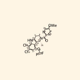 COc1cnc(C(=O)N2CCc3[nH]c4c(Cl)c(Cl)cc(OC(F)F)c4c3[C@H]2C)nc1